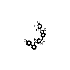 O=C1CCC(N2Cc3cc(C(=O)N4C[C@@H]5C[C@H]4CN5Cc4ccccc4-c4ccc(Cl)cc4)ccc3C2=O)C(=O)N1